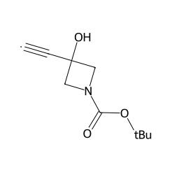 [C]#CC1(O)CN(C(=O)OC(C)(C)C)C1